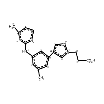 Cc1cc(Nc2nccc(C)n2)cc(-c2cnn(CCC(=O)O)c2)c1